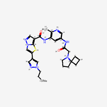 COCCn1cc(-c2cn3ncc(C(=O)Nc4cc(NC(=O)CN5CCCC56CCC6)cnc4C)c3s2)cn1